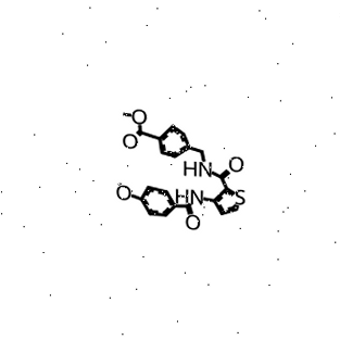 COC(=O)c1ccc(CNC(=O)c2sccc2NC(=O)c2ccc(OC)cc2)cc1